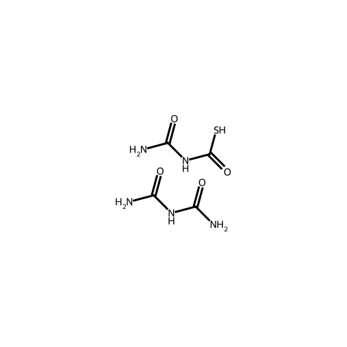 NC(=O)NC(=O)S.NC(=O)NC(N)=O